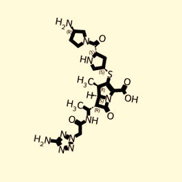 CC(NC(=O)Cn1nnc(N)n1)[C@H]1C(=O)N2C(C(=O)O)=C(S[C@@H]3CN[C@H](C(=O)N4CC[C@@H](N)C4)C3)[C@H](C)[C@H]12